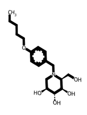 CCCCCOc1ccc(CN2C[C@H](O)[C@@H](O)[C@H](O)[C@@H]2CO)cc1